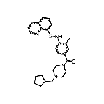 Cc1cc(C(=O)N2CCN(CC3CCCC3)CC2)ccc1NSc1cccc2cccnc12